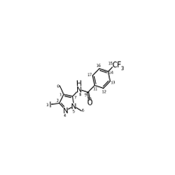 Cc1c(I)nn(C)c1NC(=O)c1ccc(C(F)(F)F)cc1